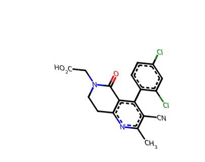 Cc1nc2c(c(-c3ccc(Cl)cc3Cl)c1C#N)C(=O)N(CC(=O)O)CC2